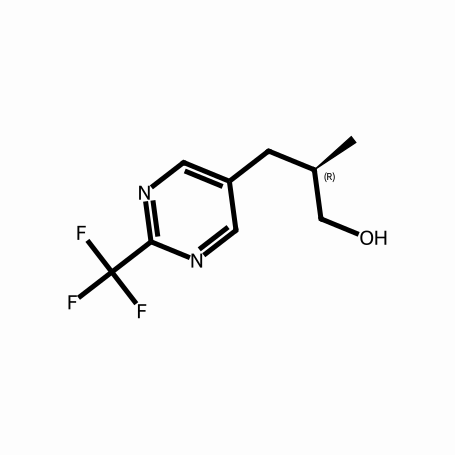 C[C@@H](CO)Cc1cnc(C(F)(F)F)nc1